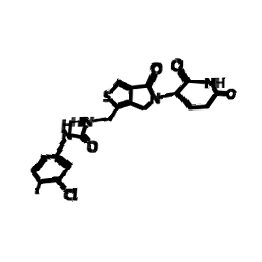 Cc1ccc(NC(=O)NCc2scc3c2CN(C2CCC(=O)NC2=O)C3=O)cc1Cl